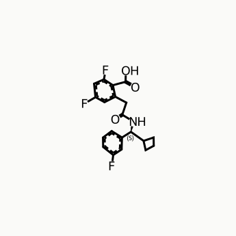 O=C(Cc1cc(F)cc(F)c1C(=O)O)N[C@H](c1cccc(F)c1)C1CCC1